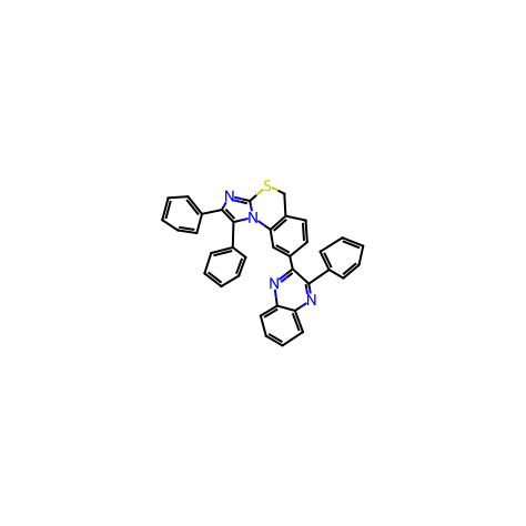 c1ccc(-c2nc3ccccc3nc2-c2ccc3c(c2)-n2c(nc(-c4ccccc4)c2-c2ccccc2)SC3)cc1